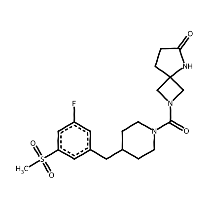 CS(=O)(=O)c1cc(F)cc(CC2CCN(C(=O)N3CC4(CCC(=O)N4)C3)CC2)c1